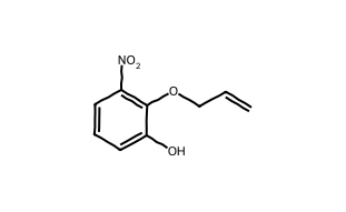 C=CCOc1c(O)cccc1[N+](=O)[O-]